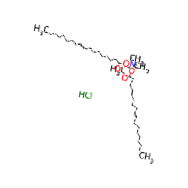 CCCCCCCCC=CCCCCCCCC(=O)OC(C)(OC(=O)CCCCCCCC=CCCCCCCCC)N(C)C.Cl